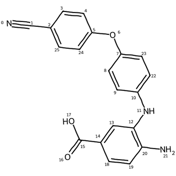 N#Cc1ccc(Oc2ccc(Nc3cc(C(=O)O)ccc3N)cc2)cc1